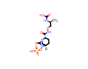 C[C@@H](CONC(=O)[C@@H]1CC[C@@H]2CN1C(=O)N2OS(=O)(=O)O)NC(=O)O